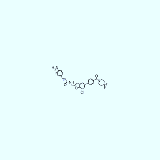 Nc1ccc(/C=C/C(=O)NCc2cc3cc(-c4ccc(C(=O)N5CCC(F)(F)CC5)cc4)cc(Cl)c3o2)cn1